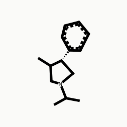 CC1CN(C(C)C)C[C@H]1c1ccccc1